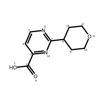 O=C(O)c1ccnc(C2CCOCC2)n1